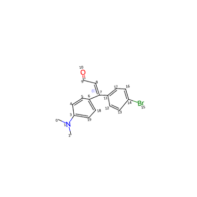 CN(C)c1ccc(/C(=C\C=O)c2ccc(Br)cc2)cc1